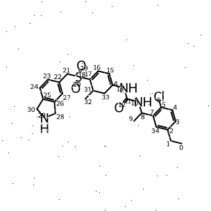 CCc1ccc(Cl)c(C(C)NC(=O)NC2=CC=C(S(=O)(=O)Cc3ccc4c(c3)CNC4)C(C)C2)c1